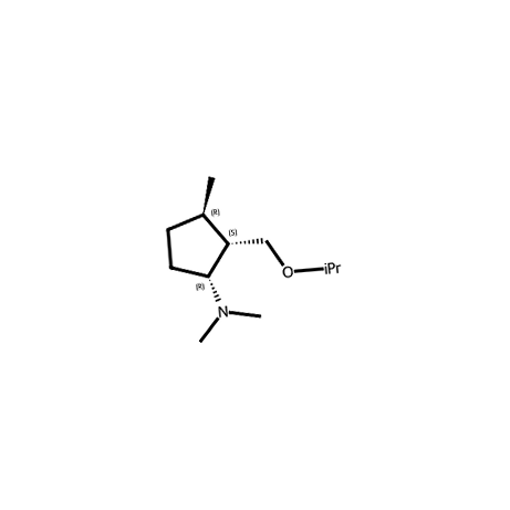 CC(C)OC[C@H]1[C@H](C)CC[C@H]1N(C)C